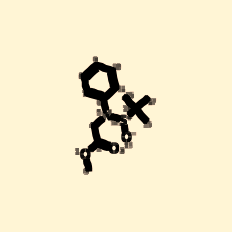 COC(=O)CN(c1ccccc1)[S+]([O-])C(C)(C)C